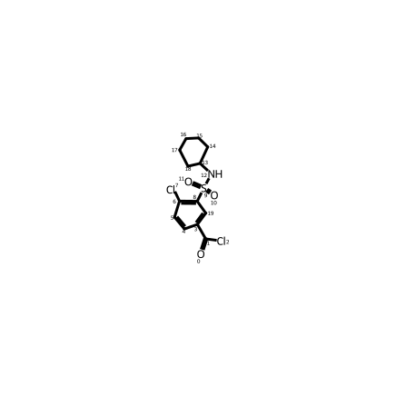 O=C(Cl)c1ccc(Cl)c(S(=O)(=O)NC2CCCCC2)c1